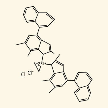 CC1=Cc2c(-c3cccc4ccccc34)cc(C)c(C)c2[CH]1[Zr+2]1([CH]2C(C)=Cc3c(-c4cccc5ccccc45)cc(C)c(C)c32)[CH2][CH2]1.[Cl-].[Cl-]